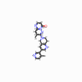 Cc1ccncc1-c1cnc2c(c1)CN(c1nn3c(=O)ccnc3cc1C)CC2